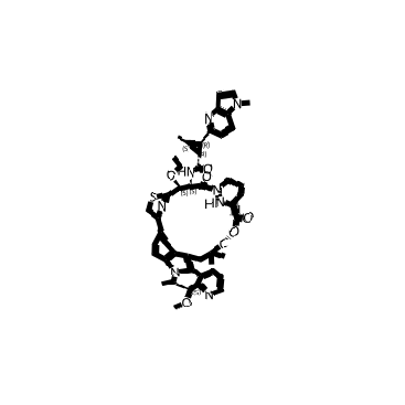 CCO[C@@H]1C2=NC(CS2)c2ccc3c(c2)c(c(-c2cccnc2[C@H](C)OC)n3CC)CC(C)(C)COC(=O)[C@@H]2CCCN(N2)C(=O)[C@H]1NC(=O)[C@@H]1[C@@H](C)[C@H]1c1ccc2c(ccn2C)n1